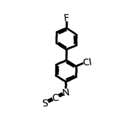 Fc1ccc(-c2ccc(N=C=S)cc2Cl)cc1